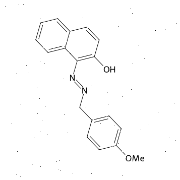 COc1ccc(CN=Nc2c(O)ccc3ccccc23)cc1